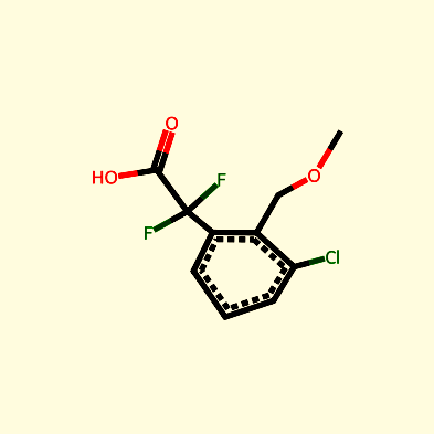 COCc1c(Cl)cccc1C(F)(F)C(=O)O